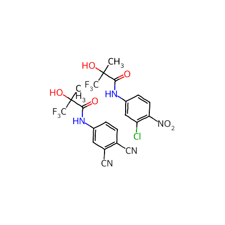 CC(O)(C(=O)Nc1ccc(C#N)c(C#N)c1)C(F)(F)F.CC(O)(C(=O)Nc1ccc([N+](=O)[O-])c(Cl)c1)C(F)(F)F